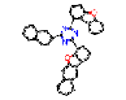 c1ccc2cc(-c3nc(-c4cccc5c4oc4cc6ccccc6cc45)nc(-c4cccc5oc6ccccc6c45)n3)ccc2c1